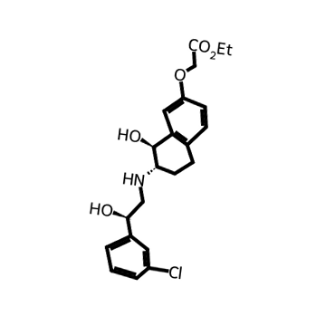 CCOC(=O)COc1ccc2c(c1)[C@H](O)[C@@H](NC[C@H](O)c1cccc(Cl)c1)CC2